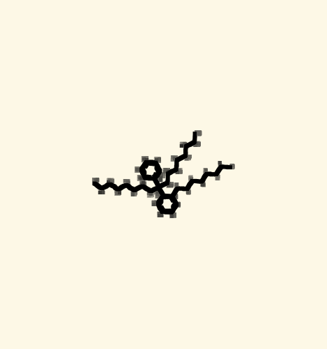 CCCCCCCCc1ccccc1C(CCCCCCCC)(CCCCCCCC)c1ccccc1